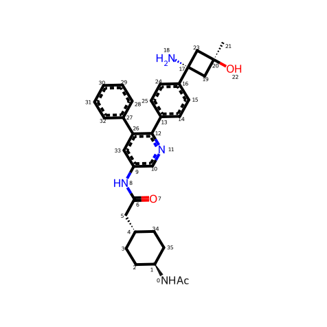 CC(=O)N[C@H]1CC[C@H](CC(=O)Nc2cnc(-c3ccc([C@]4(N)C[C@](C)(O)C4)cc3)c(-c3ccccc3)c2)CC1